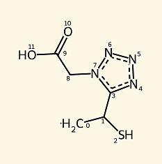 [CH2]C(S)c1nnnn1CC(=O)O